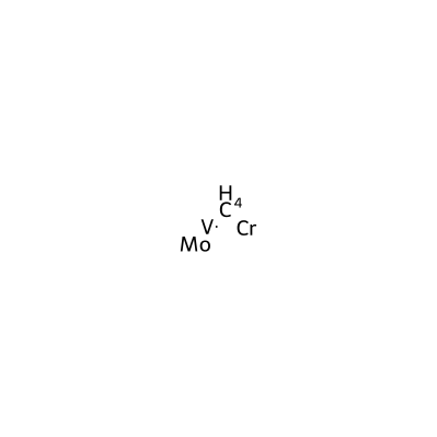 C.[Cr].[Mo].[V]